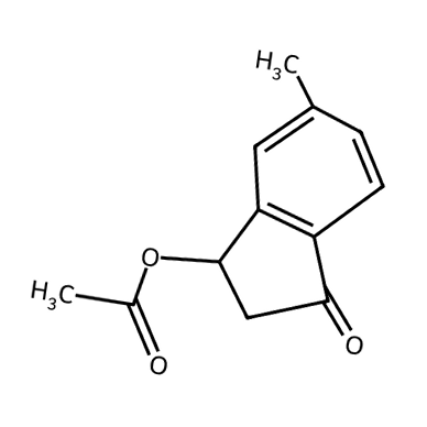 CC(=O)OC1CC(=O)c2ccc(C)cc21